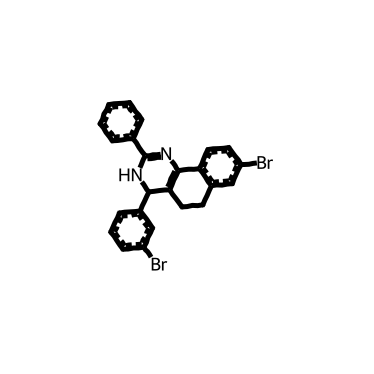 Brc1cccc(C2NC(c3ccccc3)=NC3=C2CCc2cc(Br)ccc23)c1